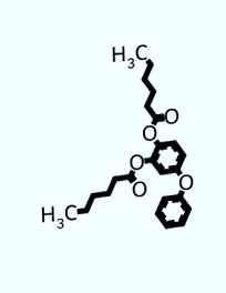 CCCCCC(=O)Oc1ccc(Oc2ccccc2)cc1OC(=O)CCCCC